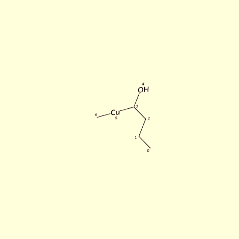 CCC[CH](O)[Cu][CH3]